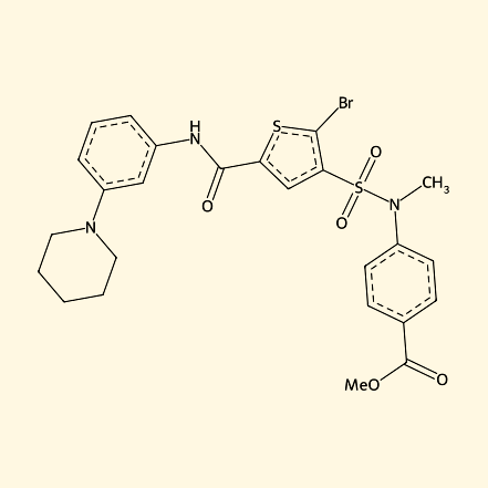 COC(=O)c1ccc(N(C)S(=O)(=O)c2cc(C(=O)Nc3cccc(N4CCCCC4)c3)sc2Br)cc1